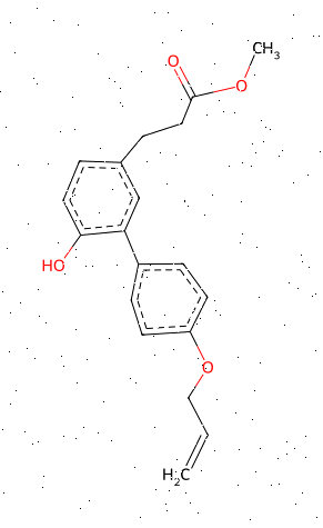 C=CCOc1ccc(-c2cc(CCC(=O)OC)ccc2O)cc1